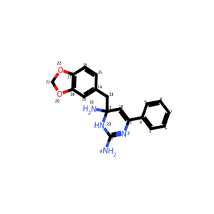 NC1=NC(c2ccccc2)=CC(N)(Cc2ccc3c(c2)OCO3)N1